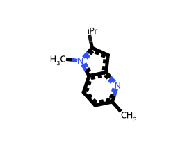 Cc1ccc2c(cc(C(C)C)n2C)n1